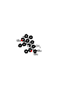 Cc1cc2c3c(c1)N1c4ccccc4N4c5cc(N(c6ccccc6)c6ccccc6)cc6c5B(c5ccc(-c7ccccc7)cc5N6c5cc(C(C)(C)C)cc(C(C)(C)C)c5)c5oc(c1c54)B3c1cc(-c3ccccc3)ccc1N2c1cc(C(C)(C)C)cc(C(C)(C)C)c1